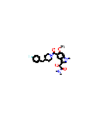 CCOc1cc2c(cc1C(=O)N1CCC(Cc3ccc(F)cc3)CC1)c(C(=O)C(=O)N(C)C)cn2C